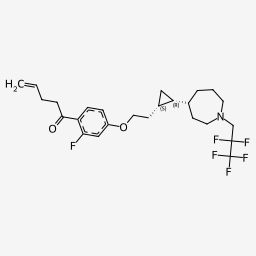 C=CCCC(=O)c1ccc(OCC[C@@H]2C[C@@H]2C2CCCN(CC(F)(F)C(F)(F)F)CC2)cc1F